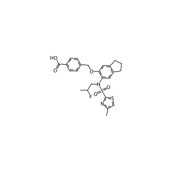 Cc1csc(S(=O)(=O)N(CC(C)F)c2cc3c(cc2OCc2ccc(C(=O)O)cc2)CCC3)n1